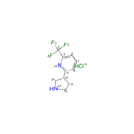 Cl.FC(F)(F)c1cccc(C2CCNC2)n1